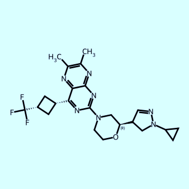 Cc1nc2nc(N3CCO[C@H](C4C=NN(C5CC5)C4)C3)nc([C@H]3C[C@@H](C(F)(F)F)C3)c2nc1C